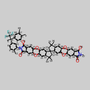 Cc1ccc(C(C)(c2ccc(C)c(-n3c(=O)c4cc5oc6cc7c(cc6oc5cc4c3=O)C3(CC(C)(C)c4cc5oc6cc8c(=O)n(C)c(=O)c8cc6oc5cc43)CC7(C)C)c2)C(F)(F)F)cc1C